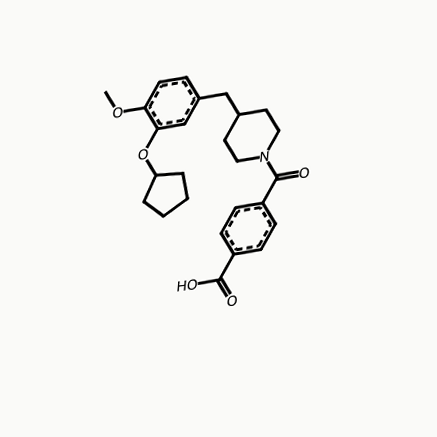 COc1ccc(CC2CCN(C(=O)c3ccc(C(=O)O)cc3)CC2)cc1OC1CCCC1